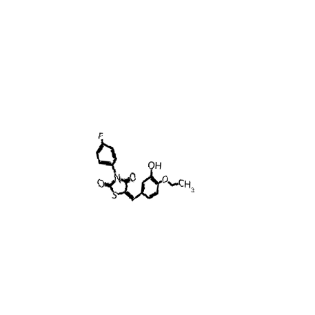 CCOc1ccc(C=C2SC(=O)N(c3ccc(F)cc3)C2=O)cc1O